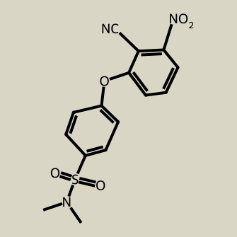 CN(C)S(=O)(=O)c1ccc(Oc2cccc([N+](=O)[O-])c2C#N)cc1